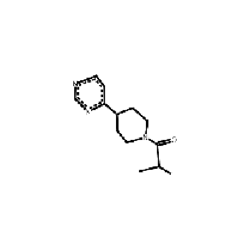 CC(C)C(=O)N1CCC(c2ccncn2)CC1